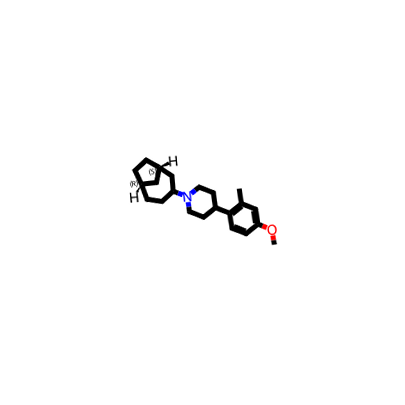 COc1ccc(C2CCN(C3CC[C@H]4CC[C@H](C3)C4)CC2)c(C)c1